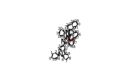 c1ccc(-n2c3ccccc3c3cc(-c4nc(-c5ccccc5N5c6ccc7ccccc7c6-c6cccc7cccc5c67)nc5ccccc45)ccc32)cc1